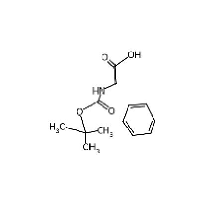 CC(C)(C)OC(=O)NCC(=O)O.c1ccccc1